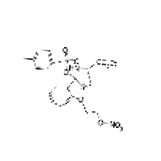 CCOC(=O)C1CSC(OS(=O)(=O)c2ccc(C)cc2)(c2ccccc2OCCO[N+](=O)[O-])N1